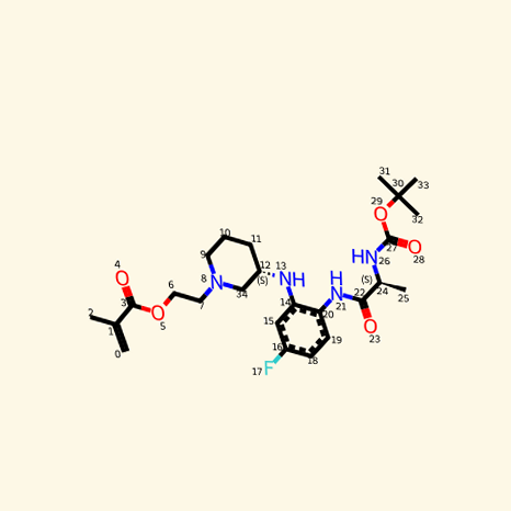 C=C(C)C(=O)OCCN1CCC[C@H](Nc2cc(F)ccc2NC(=O)[C@H](C)NC(=O)OC(C)(C)C)C1